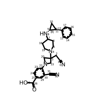 N#CCC1(N2CCC(N[C@@H]3C[C@H]3c3ccccc3)CC2)CN(c2ccc(C(=O)O)cc2C#N)C1